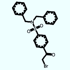 O=C(CBr)c1ccc(S(=O)(=O)N(Cc2ccccc2)Cc2ccccc2)cc1